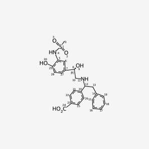 CS(=O)(=O)Nc1cc([C@@H](O)CNC(Cc2ccccc2)c2ccc(C(=O)O)cc2)ccc1O